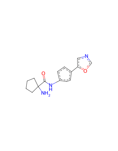 NC1(C(=O)Nc2ccc(-c3cnco3)cc2)CCCC1